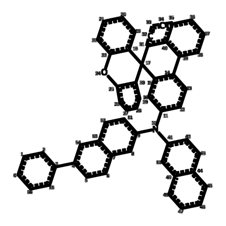 c1ccc(-c2ccc3cc(N(c4ccc5c(c4)C4(c6ccccc6Oc6ccccc64)c4cccc6cccc-5c46)c4ccc5ccccc5c4)ccc3c2)cc1